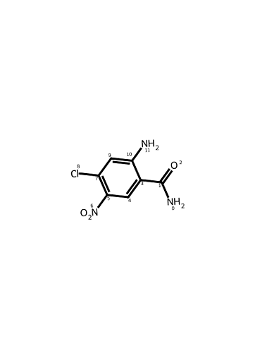 NC(=O)c1cc([N+](=O)[O-])c(Cl)cc1N